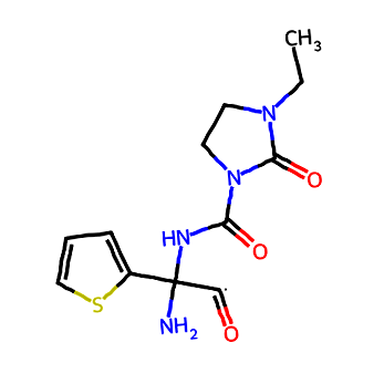 CCN1CCN(C(=O)NC(N)([C]=O)c2cccs2)C1=O